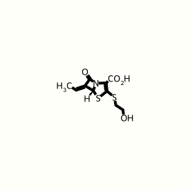 C/C=C1\C(=O)N2C(C(=O)O)=C(SCCO)S[C@H]12